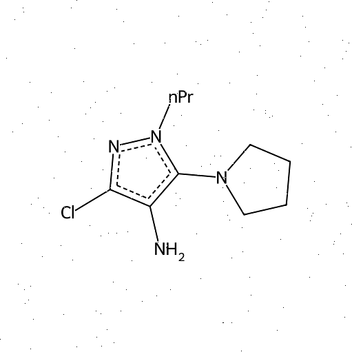 CCCn1nc(Cl)c(N)c1N1CCCC1